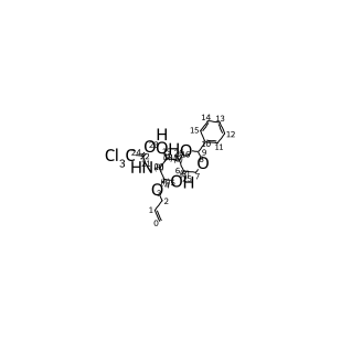 C=CCO[C@@H]1O[C@@H]2COC(c3ccccc3)O[C@H]2[C@H](O)[C@H]1NC(=O)C(Cl)(Cl)Cl